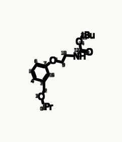 CC(C)OCc1cccc(OCCNC(=O)OC(C)(C)C)c1